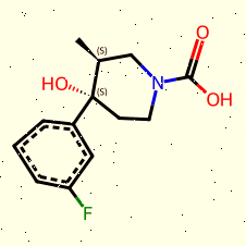 C[C@H]1CN(C(=O)O)CC[C@@]1(O)c1cccc(F)c1